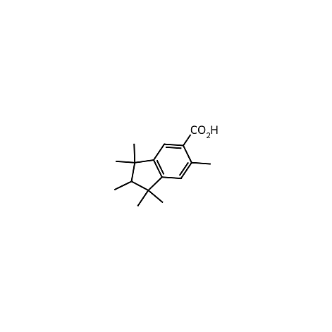 Cc1cc2c(cc1C(=O)O)C(C)(C)C(C)C2(C)C